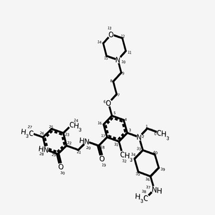 CCN(c1cc(OCCCN2CCOCC2)cc(C(=O)NCc2c(C)cc(C)[nH]c2=O)c1C)C1CCC(NC)CC1